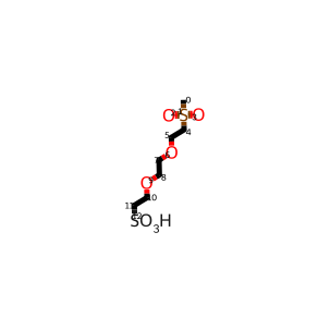 CS(=O)(=O)CCOCCOCCS(=O)(=O)O